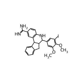 COc1cc(C2Nc3ccc(C(=N)N)cc3C3c4ccccc4CC23)cc(I)c1OC